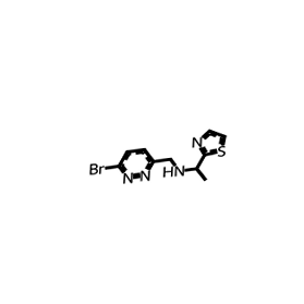 CC(NCc1ccc(Br)nn1)c1nccs1